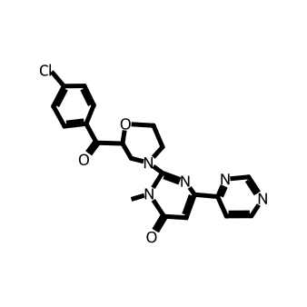 Cn1c(N2CCOC(C(=O)c3ccc(Cl)cc3)C2)nc(-c2ccncn2)cc1=O